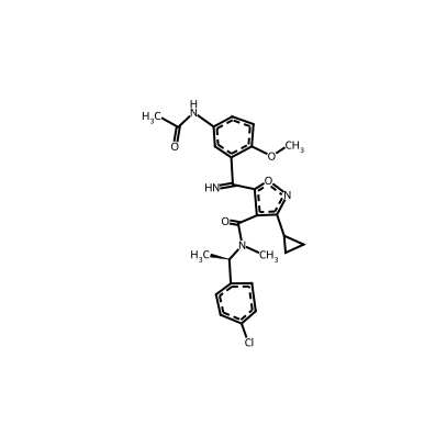 COc1ccc(NC(C)=O)cc1C(=N)c1onc(C2CC2)c1C(=O)N(C)[C@H](C)c1ccc(Cl)cc1